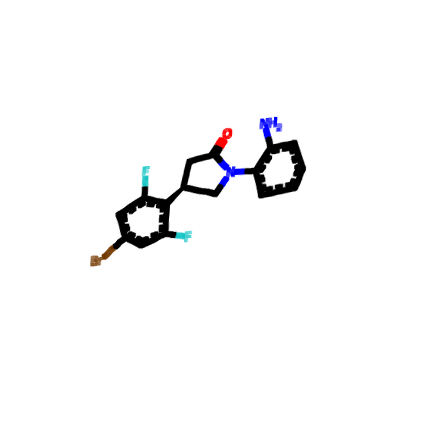 Nc1ccccc1N1C[C@@H](c2c(F)cc(Br)cc2F)CC1=O